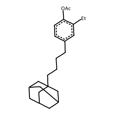 CCc1cc(CCCCC23CC4CC(CC(C4)C2)C3)ccc1OC(C)=O